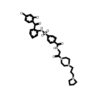 O=C(NCC(=O)N1CCN(CCCN2CCCC2)CC1)c1ccc(S(=O)(=O)Nc2ccccc2C(=O)c2ccc(Cl)cc2Cl)cc1